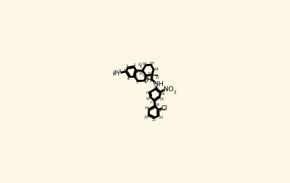 CC(C)c1ccc2c(c1)CC[C@H]1[C@@](C)(CNc3ccc(-c4ccccc4Cl)cc3[N+](=O)[O-])CCC[C@]21C